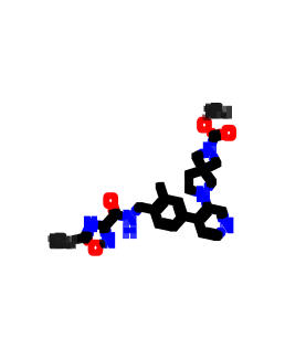 Cc1cc(-c2ccncc2N2CCC3(CN(C(=O)OC(C)(C)C)C3)C2)ccc1CNC(=O)c1noc(C(C)(C)C)n1